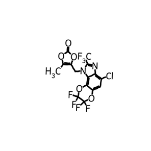 Cc1oc(=O)oc1Cn1c(C(F)(F)F)nc2c(Cl)cc3c(c21)OC(F)(F)C(F)(F)O3